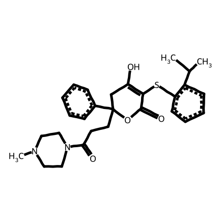 CC(C)c1ccccc1SC1=C(O)CC(CCC(=O)N2CCN(C)CC2)(c2ccccc2)OC1=O